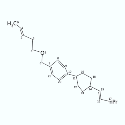 CC=CCCOCc1ccc(C2CCC(C=CCCC)CC2)cc1